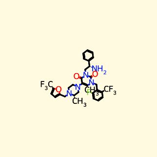 Cc1c(N2CCN(Cc3ccc(C(F)(F)F)o3)[C@@H](C)C2)c(=O)n(C[C@@H](N)c2ccccc2)c(=O)n1Cc1c(F)cccc1C(F)(F)F